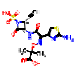 C#C[C@@H]1[C@H](NC(=O)C(=NOC(C)(C)C(=O)O)c2csc(N)n2)C(=O)N1S(=O)(=O)O